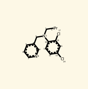 CC(C)CN(Cc1cccnc1)c1ccc(Cl)cc1Cl